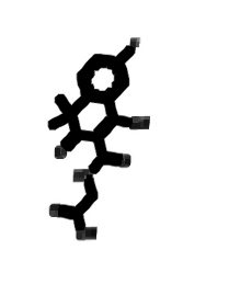 CC1(C)C(=O)C(C(=O)NCC(=O)O)=C(O)c2cc(F)ccc21